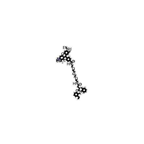 C=Cc1ccccc1CN(C(=O)CCC(=O)NCCOCCOCCOCCNC(=O)c1ccc(C2c3cc(C)c(NCC)cc3OC3=C/C(=N/CC)C(C)=CC32)c(C(=O)O)c1)c1ccccc1C